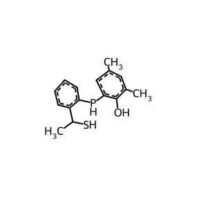 Cc1cc(C)c(O)c(Pc2ccccc2C(C)S)c1